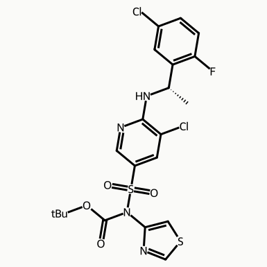 C[C@H](Nc1ncc(S(=O)(=O)N(C(=O)OC(C)(C)C)c2cscn2)cc1Cl)c1cc(Cl)ccc1F